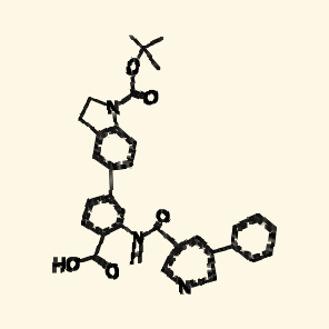 CC(C)(C)OC(=O)N1CCc2cc(-c3ccc(C(=O)O)c(NC(=O)c4cncc(-c5ccccc5)c4)c3)ccc21